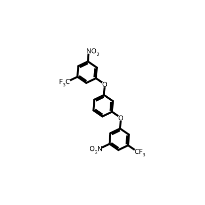 O=[N+]([O-])c1cc(Oc2cccc(Oc3cc([N+](=O)[O-])cc(C(F)(F)F)c3)c2)cc(C(F)(F)F)c1